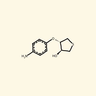 Nc1ccc(O[C@@H]2CSC[C@H]2O)cc1